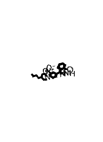 CCCCC1CCN(c2ccc(-c3n[nH]c(=O)c4ccccc34)cc2[N+](=O)[O-])CC1